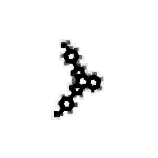 Brc1ccc(-c2cc3c4ccccc4c4cc(-c5ccc(Br)cc5)oc4c3o2)cc1